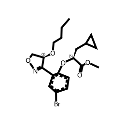 CCCCO[C@@H]1CON=C1c1cc(Br)ccc1O[C@@H](CC1CC1)C(=O)OC